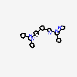 c1ccc(-c2cc(-c3ccccn3)nc(-c3ccc(-c4cccc(-c5ccc(-c6nc(-c7ccccc7)cc(-c7ccccc7)n6)cc5)c4)cn3)c2)cc1